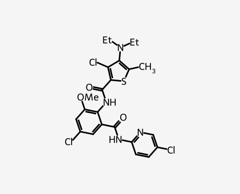 CCN(CC)c1c(C)sc(C(=O)Nc2c(OC)cc(Cl)cc2C(=O)Nc2ccc(Cl)cn2)c1Cl